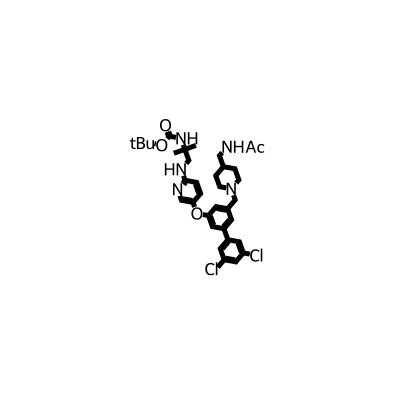 CC(=O)NCC1CCN(Cc2cc(Oc3ccc(NCC(C)(C)NC(=O)OC(C)(C)C)nc3)cc(-c3cc(Cl)cc(Cl)c3)c2)CC1